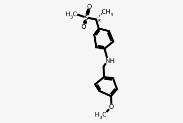 COc1ccc(CNc2ccc([C@@H](C)S(C)(=O)=O)cc2)cc1